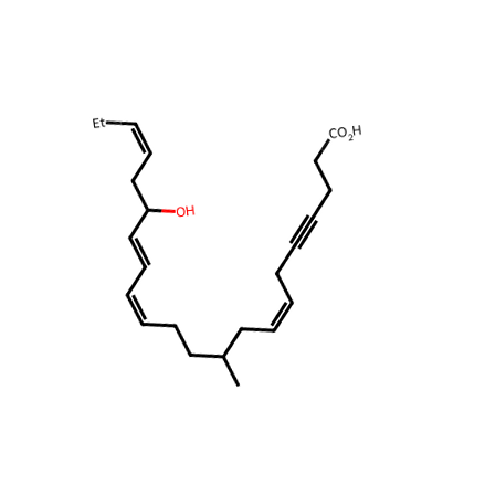 CC/C=C\CC(O)/C=C/C=C\CCC(C)C/C=C\CC#CCCC(=O)O